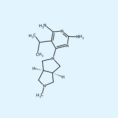 CC(C)c1c(N)nc(N)nc1N1C[C@H]2CN(C)C[C@H]2C1